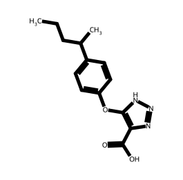 CCCC(C)c1ccc(Oc2[nH]nnc2C(=O)O)cc1